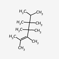 CC(C)=C(C)C(C)(C)C(C)(C)C(C)C